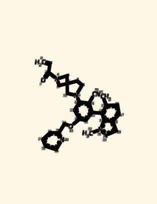 C=CC(=O)N1CC2(CCN(c3cc(OCc4ccccn4)cc(-c4c(C)ccc5cnn(C)c45)c3C#N)C2)C1